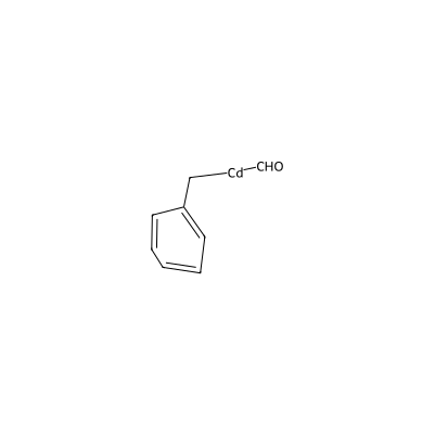 O=[CH][Cd][CH2]c1ccccc1